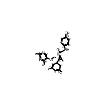 Cc1ncc(OC[C@@]2(C3C=C(F)C=C(F)C3)C[C@H]2C(=O)Nc2ccc(C#N)cn2)c(C)n1